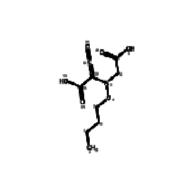 CCCCON(CC(=O)O)C(=C=O)C(=O)O